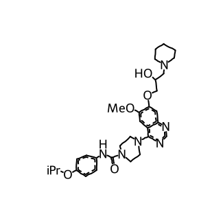 COc1cc2c(N3CCN(C(=O)Nc4ccc(OC(C)C)cc4)CC3)ncnc2cc1OCC(O)CN1CCCCC1